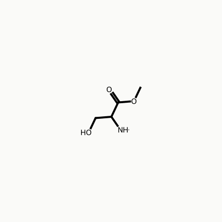 COC(=O)C([NH])CO